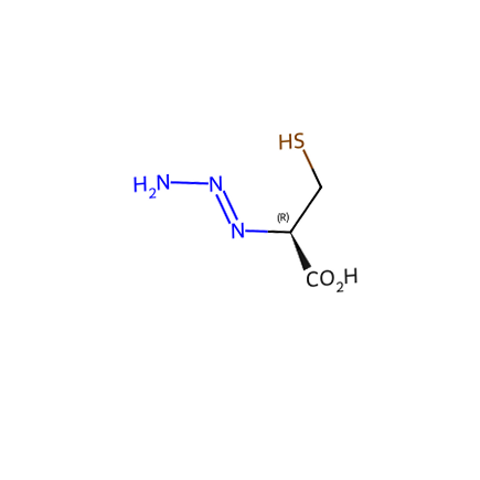 NN=N[C@@H](CS)C(=O)O